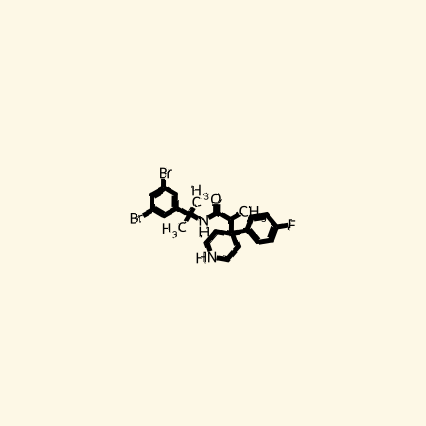 CC(C(=O)NC(C)(C)c1cc(Br)cc(Br)c1)C1(c2ccc(F)cc2)CCNCC1